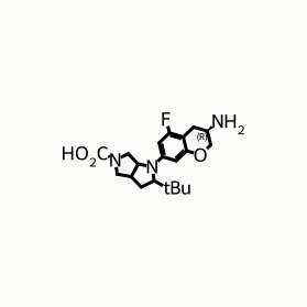 CC(C)(C)C1CC2CN(C(=O)O)CC2N1c1cc(F)c2c(c1)OC[C@H](N)C2